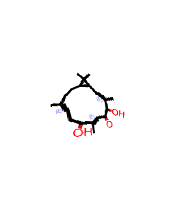 C/C1=C\CC(O)/C(C)=C/C(=O)C(O)/C(C)=C/C2C(CC1)C2(C)C